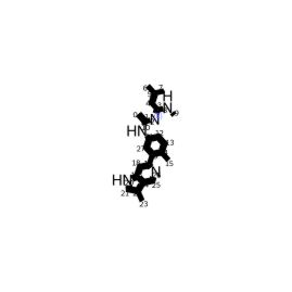 C=C(/N=C(\C=C(C)C)NC)Nc1ccc(C)c(-c2cc3[nH]cc(C)c3cn2)c1